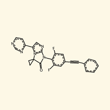 O=C1N(c2c(F)cc(C#Cc3ccccc3)cc2F)c2ncc(-c3ccncn3)n2C12CC2